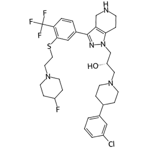 O[C@@H](CN1CCC(c2cccc(Cl)c2)CC1)Cn1nc(-c2ccc(C(F)(F)F)c(SCCN3CCC(F)CC3)c2)c2c1CCNC2